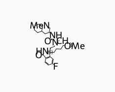 CNCC(CC1CCCCC1)NC(=O)N(C)CC[C@]1(CCCCOC)NC(=O)c2ccc(F)cc21